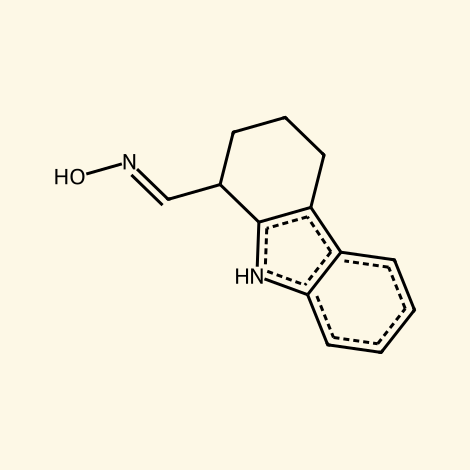 ON=CC1CCCc2c1[nH]c1ccccc21